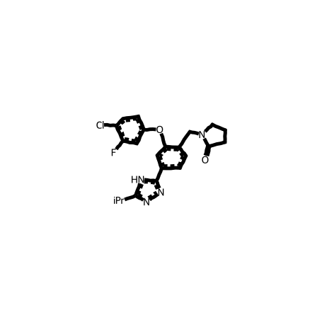 CC(C)c1nnc(-c2ccc(CN3CCCC3=O)c(Oc3ccc(Cl)c(F)c3)c2)[nH]1